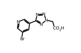 O=C(O)Cn1nnc(-c2cncc(Br)c2)n1